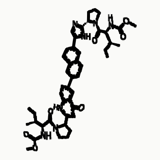 CC[C@H](C)[C@H](NC(=O)OC)C(=O)N1CCCC1c1cc(=O)c2cc(-c3ccc4cc(-c5cnc([C@@H]6CCCN6C(=O)[C@@H](NC(=O)OC)[C@@H](C)CC)[nH]5)ccc4c3)ccc2[nH]1